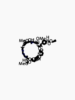 C#CCOC(=O)N[C@H]1CC[C@@H](C[C@@H](C)[C@@H]2CC(=O)[C@H](C)/C=C(\C)[C@@H](O)[C@@H](OC)C(=O)[C@H](C)C[C@H](C)/C=C/C=C/C=C(\C)C(NC(=O)OC)C[C@@H]3CC[C@@H](C)[C@@](O)(O3)C(=O)C(=O)N3CCCC[C@H]3C(=O)O2)C[C@H]1OC